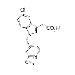 Cc1cc(Cn2cc(CC(=O)O)c3cc(Cl)ccc32)ccn1